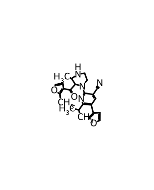 Cc1occc1C(=O)C1C(C)NCCN1c1nc(C(C)C)c(-c2ccoc2)cc1C#N